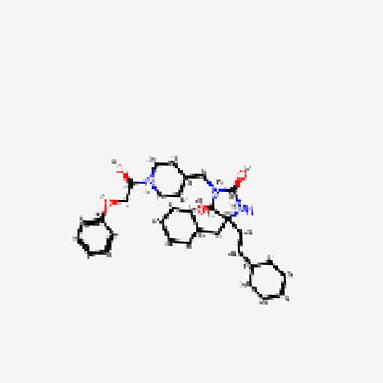 O=C(COc1ccccc1)N1CCC(CN2C(=O)NC(CCC3CCCCC3)(CC3CCCCC3)C2=O)CC1